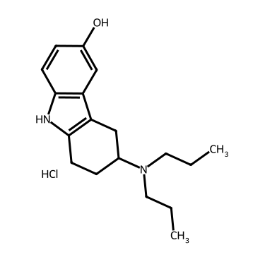 CCCN(CCC)C1CCc2[nH]c3ccc(O)cc3c2C1.Cl